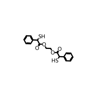 O=C(OCCOC(=O)C(S)c1ccccc1)C(S)c1ccccc1